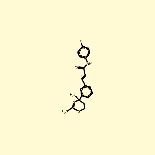 CC1(c2cccc(/C=C/C(=O)Nc3ccc(F)cc3)c2)CCSC(N)=N1